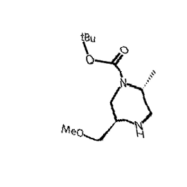 COC[C@H]1CN(C(=O)OC(C)(C)C)[C@H](C)CN1